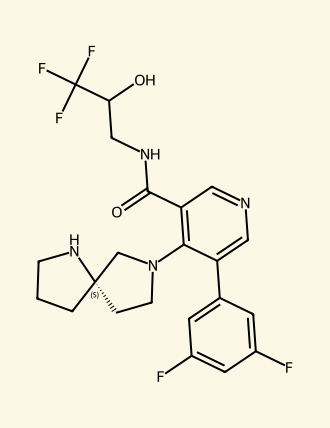 O=C(NCC(O)C(F)(F)F)c1cncc(-c2cc(F)cc(F)c2)c1N1CC[C@@]2(CCCN2)C1